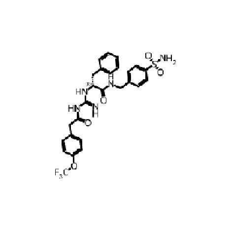 N=C(NC(=O)Cc1ccc(OC(F)(F)F)cc1)N[C@H](Cc1ccccc1)C(=O)NCc1ccc(S(N)(=O)=O)cc1